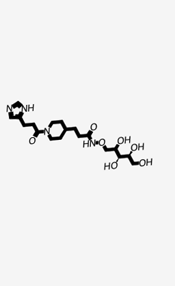 O=C(CCC1CCN(C(=O)CCc2cnc[nH]2)CC1)NOCC(O)[C@@H](O)[C@@H](O)CO